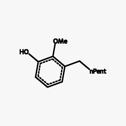 CCCCCCc1cccc(O)c1OC